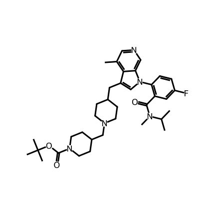 Cc1cncc2c1c(CC1CCN(CC3CCN(C(=O)OC(C)(C)C)CC3)CC1)cn2-c1ccc(F)cc1C(=O)N(C)C(C)C